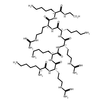 N=C(N)NCCC[C@H](NC(=O)[C@H](CCCCN)NC(=O)[C@H](CCCNC(=N)N)NC(=O)[C@H](CCCCN)NC(=O)[C@H](CCCNC(=N)N)NC(=O)[C@@H](N)CCCCN)C(=O)N[C@@H](CCCCN)C(=O)NCC(=O)O